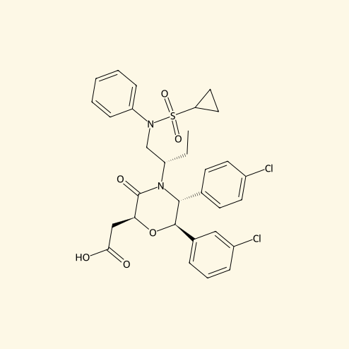 CC[C@@H](CN(c1ccccc1)S(=O)(=O)C1CC1)N1C(=O)[C@H](CC(=O)O)O[C@H](c2cccc(Cl)c2)[C@H]1c1ccc(Cl)cc1